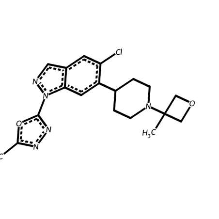 Cc1nnc(-n2ncc3cc(Cl)c(C4CCN(C5(C)COC5)CC4)cc32)o1